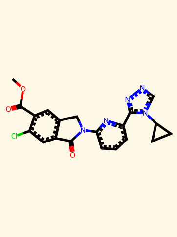 COC(=O)c1cc2c(cc1Cl)C(=O)N(c1cccc(-c3nncn3C3CC3)n1)C2